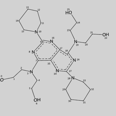 OCCN(CCO)c1nc(N2CCCCC2)nc2c(N(CCO)CCO)nc(N3CCCCC3)nc12